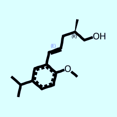 COc1ccc(C(C)C)cc1/C=C/C[C@@H](C)CO